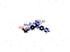 CC(=O)O.COc1cc(-c2nn(C3CCC(N4CCN(C)CC4)CC3)c3ncnc(N)c23)ccc1NCc1ccc(CO)o1